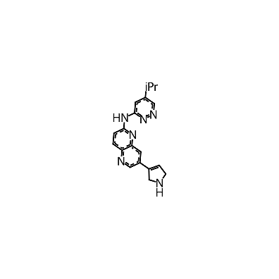 CC(C)c1cnnc(Nc2ccc3ncc(C4=CCNC4)cc3n2)c1